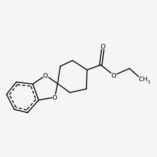 CCOC(=O)C1CCC2(CC1)Oc1ccccc1O2